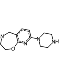 c1cc2c(nc1N1CCNCC1)OCCNC2